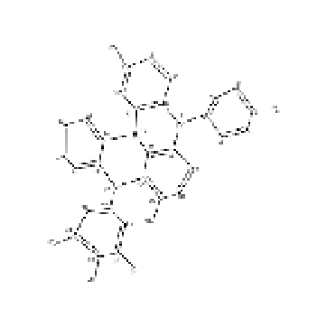 Cc1ccc(N2c3ccc(C)cc3B3c4ccccc4N(c4cc(C)c(C)c(C)c4)c4c(C)ccc2c43)cc1